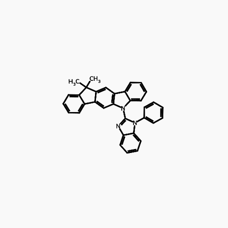 CC1(C)c2ccccc2-c2cc3c(cc21)c1ccccc1n3-c1nc2ccccc2n1-c1ccccc1